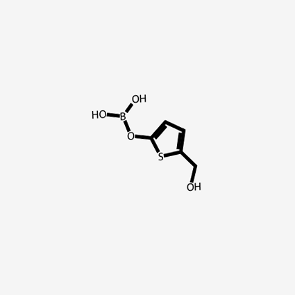 OCc1ccc(OB(O)O)s1